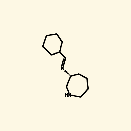 C(=N\[C@@H]1CCCCNC1)/C1CCCCC1